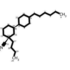 CCCCCCC1CCC([C@@H]2CCC[C@@](C#N)(CCCC)C2)CC1